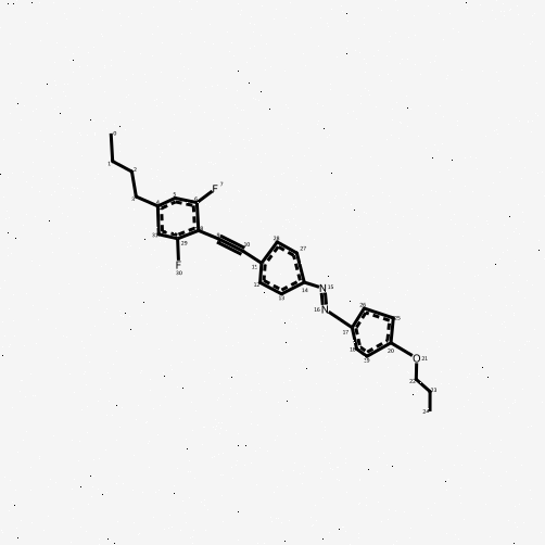 CCCCc1cc(F)c(C#Cc2ccc(N=Nc3ccc(OCCC)cc3)cc2)c(F)c1